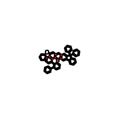 c1ccc(-c2ccccc2-c2c(-c3ccccc3)cccc2N(c2ccc3c(c2)-c2ccccc2C3(c2ccccc2)c2ccccc2)c2ccc3oc4ccccc4c3c2)cc1